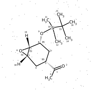 CC(=O)[C@@H]1C[C@@H]2O[C@@H]2[C@H](O[Si](C)(C)C(C)(C)C)C1